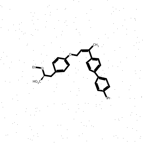 CCO[C@@H](Cc1ccc(OC/C=C(/C)c2ccc(-c3ccc(C(C)C)cc3)cc2)cc1)C(=O)O